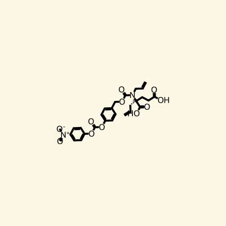 C=CCN(C(=O)OCc1ccc(OC(=O)Oc2ccc([N+](=O)[O-])cc2)cc1)[C@@](CC=C)(CCC(=O)O)C(=O)O